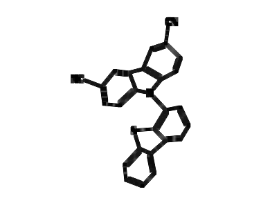 N#Cc1ccc2c(c1)c1cc(C#N)ccc1n2-c1cccc2c1sc1ccccc12